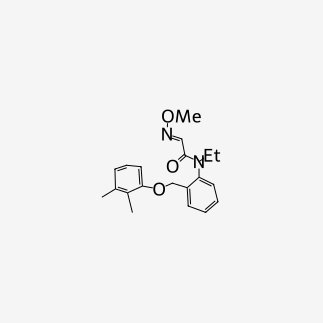 CCN(C(=O)C=NOC)c1ccccc1COc1cccc(C)c1C